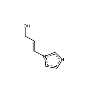 OCC=Cn1ccnc1